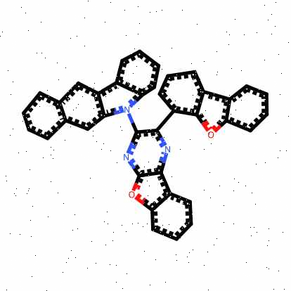 c1ccc2cc3c(cc2c1)c1ccccc1n3-c1nc2oc3ccccc3c2nc1-c1cccc2c1oc1ccccc12